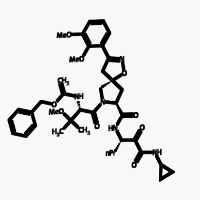 C=C(N[C@H](C(=O)N1C[C@@]2(CC(c3cccc(OC)c3OC)=NO2)C[C@H]1C(=O)N[C@@H](CCC)C(=O)C(=O)NC1CC1)C(C)(C)OC)OCc1ccccc1